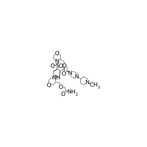 CN1CCC(N2CCN(C(=O)COCC3COCCN3S(=O)(=O)c3ccccc3I)CC2)CC1.NC(=O)COCC1COCCN1